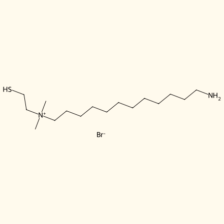 C[N+](C)(CCS)CCCCCCCCCCCCN.[Br-]